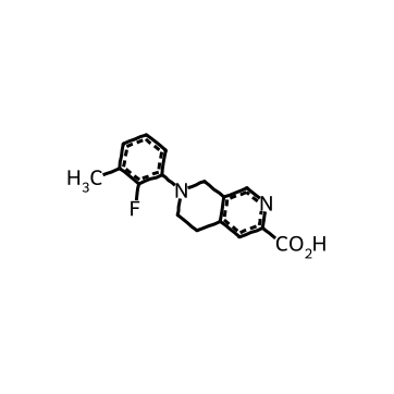 Cc1cccc(N2CCc3cc(C(=O)O)ncc3C2)c1F